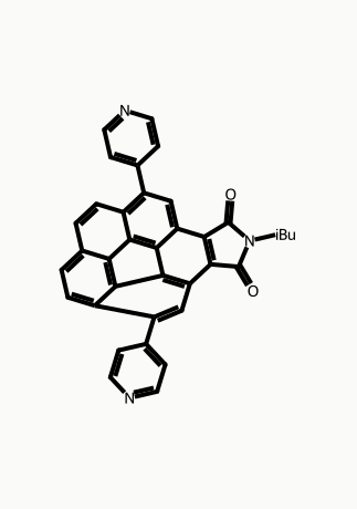 CCC(C)n1c(=O)c2c3cc(-c4ccncc4)c4ccc5ccc6c(-c7ccncc7)cc(c2c1=O)c1c6c5c4c31